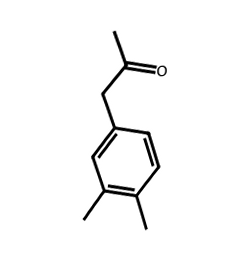 CC(=O)Cc1ccc(C)c(C)c1